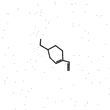 C=CC1=CCC(CC)CC1